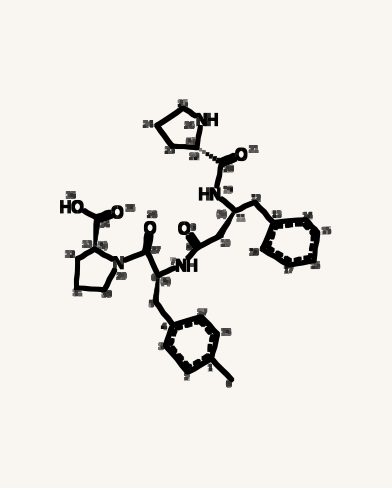 Cc1ccc(C[C@H](NC(=O)C[C@H](Cc2ccccc2)NC(=O)[C@@H]2CCCN2)C(=O)N2CCC[C@H]2C(=O)O)cc1